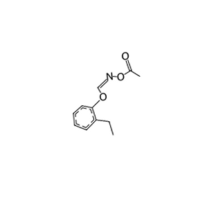 CCc1ccccc1O/C=N\OC(C)=O